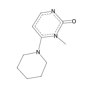 Cn1c(N2CCCCC2)ccnc1=O